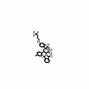 Cc1ccc(C2=C(N3C(=O)c4ccccc4C3=O)C(=O)NC(c3ccc(OCCCC(F)(F)F)cc3)(C(F)(F)F)C2)cc1